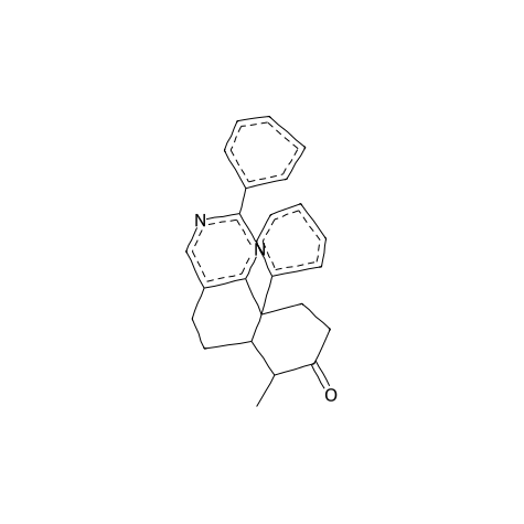 CC1C(=O)CCC2(c3ccccc3)c3nc(-c4ccccc4)ncc3CCC12